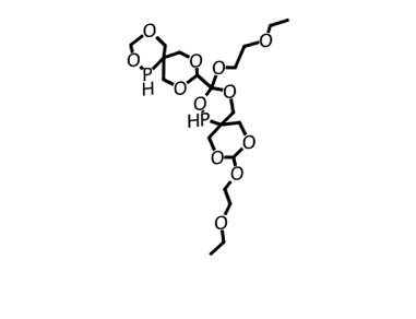 CCOCCOC1OCC2(CO1)COC(OCCOCC)(C1OCC3(COCOP3)CO1)OP2